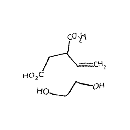 C=CC(CC(=O)O)C(=O)O.OCCO